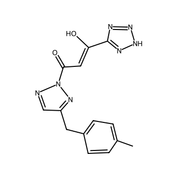 Cc1ccc(Cc2cnn(C(=O)C=C(O)c3nn[nH]n3)n2)cc1